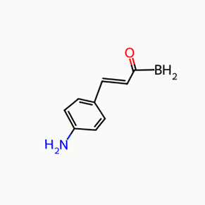 BC(=O)/C=C/c1ccc(N)cc1